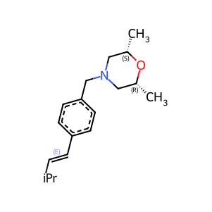 CC(C)/C=C/c1ccc(CN2C[C@@H](C)O[C@@H](C)C2)cc1